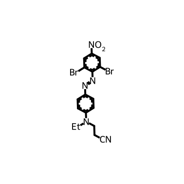 CCN(CCC#N)c1ccc(N=Nc2c(Br)cc([N+](=O)[O-])cc2Br)cc1